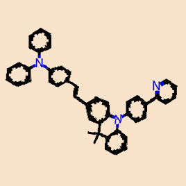 CC1(C)c2ccccc2N(c2ccc(-c3ccccn3)cc2)c2ccc(/C=C/c3ccc(N(c4ccccc4)c4ccccc4)cc3)cc21